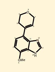 COc1ccc(C2=CCOCC2)c2nc[nH]c12